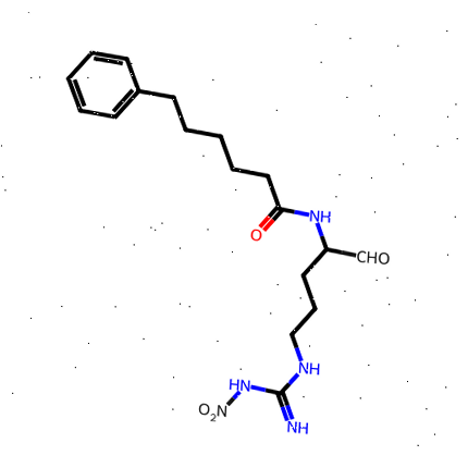 N=C(NCCCC(C=O)NC(=O)CCCCCc1ccccc1)N[N+](=O)[O-]